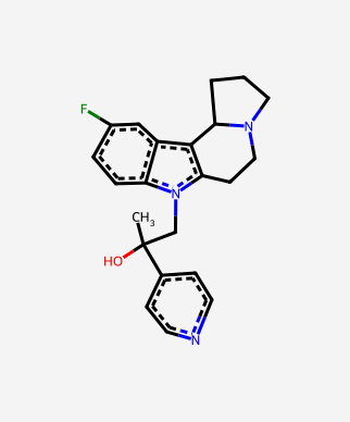 CC(O)(Cn1c2c(c3cc(F)ccc31)C1CCCN1CC2)c1ccncc1